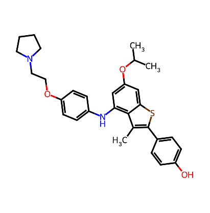 Cc1c(-c2ccc(O)cc2)sc2cc(OC(C)C)cc(Nc3ccc(OCCN4CCCC4)cc3)c12